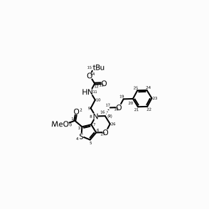 COC(=O)c1scc2c1N(CCNC(=O)OC(C)(C)C)[C@H](COCc1ccccc1)CO2